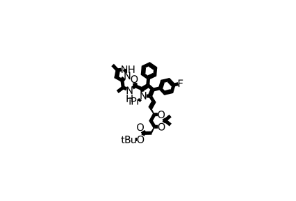 Cc1cc(C(C)NC(=O)c2c(-c3ccccc3)c(-c3ccc(F)cc3)c(C=C[C@@H]3C[C@H](CC(=O)OC(C)(C)C)OC(C)(C)O3)n2C(C)C)n[nH]1